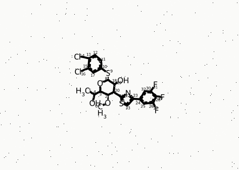 CO[C@H]1C(C(C)O)O[C@H](Sc2ccc(Cl)c(Cl)c2)C(O)C1c1nc(-c2cc(F)c(F)c(F)c2)cs1